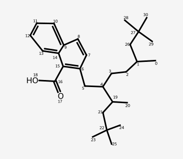 CC(CCC(Cc1ccc2ccccc2c1C(=O)O)C(C)CC(C)(C)C)CC(C)(C)C